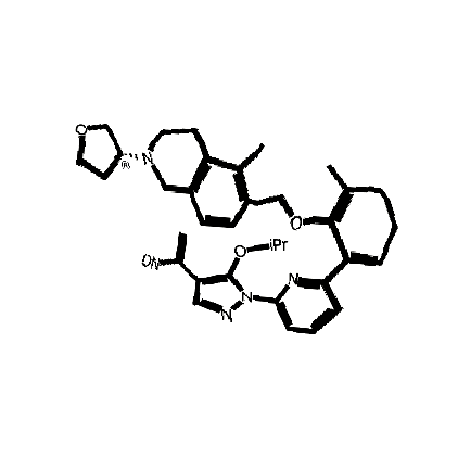 C=C(N=O)c1cnn(-c2cccc(C3=CCCC(C)=C3OCc3ccc4c(c3C)CCN([C@@H]3CCOC3)C4)n2)c1OC(C)C